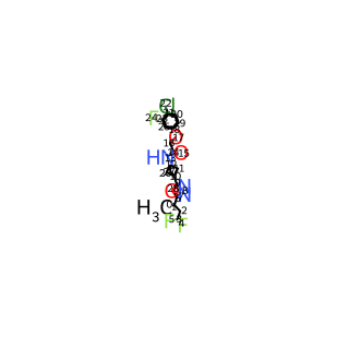 CC(CC(F)F)c1nnc(C23CC(NC(=O)COc4ccc(Cl)c(F)c4)(C2)C3)o1